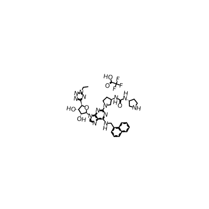 CCn1nnc([C@H]2O[C@@H](n3cnc4c(NCc5cccc6ccccc56)nc(N5CC[C@@H](NC(=O)N[C@@H]6CCNC6)C5)nc43)[C@H](O)[C@@H]2O)n1.O=C(O)C(F)(F)F